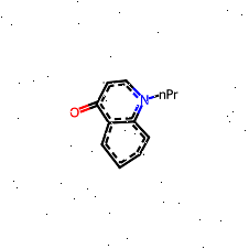 CCCn1c[c]c(=O)c2cc[c]cc21